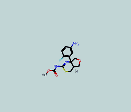 CC(C)(C)OC(=O)NC1=NC2(c3cc(N)ccc3F)COC[C@H]2CS1